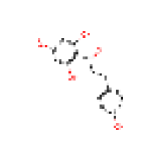 COc1cc(O)c(C(=O)CCc2ccc(O)cc2)c(O)c1